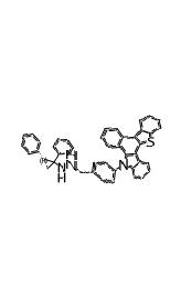 c1ccc([C@H]2CC2(NNCc2ccc(-n3c4ccccc4c4c5sc6ccccc6c5c5ccccc5c43)cc2)c2ccccc2)cc1